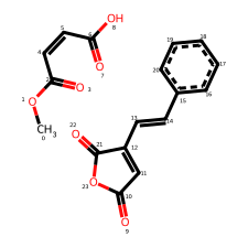 COC(=O)/C=C\C(=O)O.O=C1C=C(C=Cc2ccccc2)C(=O)O1